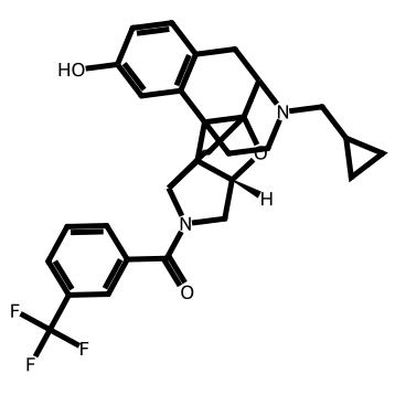 O=C(c1cccc(C(F)(F)F)c1)N1C[C@H]2OC34CCC1C2C31CCN(CC2CC2)C4Cc2ccc(O)cc21